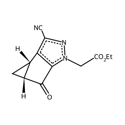 CCOC(=O)Cn1nc(C#N)c2c1C(=O)[C@@H]1C[C@H]21